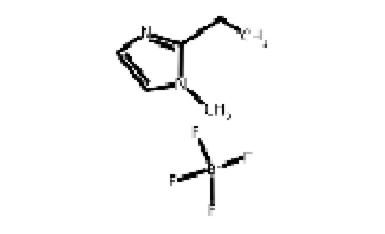 CCc1nccn1C.F[B-](F)(F)F